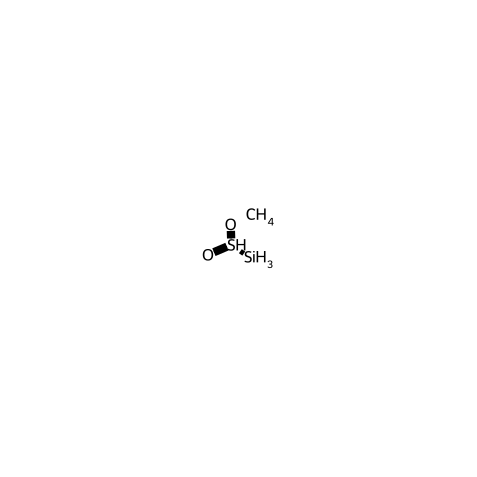 C.O=[SH](=O)[SiH3]